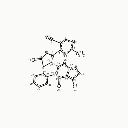 N#Cc1cnc(N)nc1N1CC(=O)C[C@H]1c1nn2ccc(Cl)c2c(=O)n1-c1ccccc1